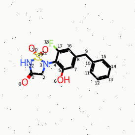 O=C1CN(c2c(O)cc(Cc3ccccc3)cc2F)S(=O)(=O)N1